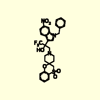 O=[N+]([O-])c1ccc2c(C(O)(CN3CCC4(CC3)CS(=O)(=O)c3ccccc3O4)C(F)(F)F)cn(Cc3ccccc3)c2c1